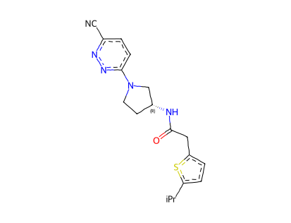 CC(C)c1ccc(CC(=O)N[C@@H]2CCN(c3ccc(C#N)nn3)C2)s1